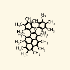 Cc1c(C)c(C)c(B2c3c(C)c(C)c(C)c(C)c3-c3c2c(C)c2c(C)c(C)c4c(C)c(C)c(C)c5c(C)c(C)c3c2c45)c(C)c1C